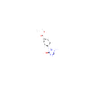 COC(=O)c1ccc(-n2[nH]cnc2=O)cc1